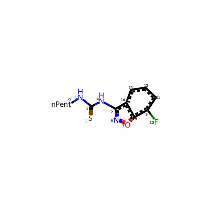 CCCCCNC(=S)Nc1noc2c(F)cccc12